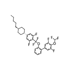 CCCCC[C@H]1CC[C@H](c2cc(F)c(C(F)(F)Oc3ccccc3-c3cc(F)c(OC(F)F)c(F)c3)c(F)c2)CC1